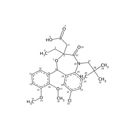 CCC1(CC(=O)O)OC(c2cccc(OC)c2OC)c2cc(Cl)ccc2N(CC(C)(C)C)C1=O